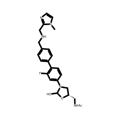 CC(=O)NC[C@H]1CN(c2ccc(-c3ccc(CNCc4nccn4C)cc3)c(F)c2)C(O)O1